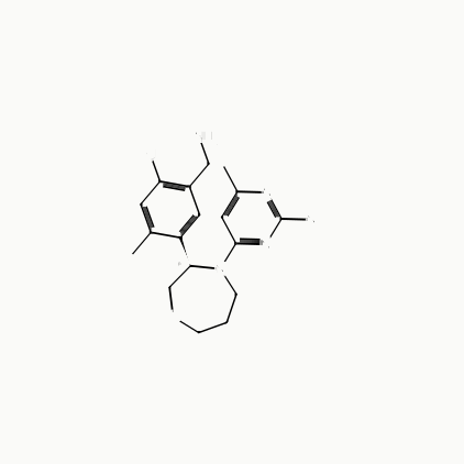 Cc1cc(N2CCCOC[C@H]2c2cc(CN)c(Cl)cc2C)nc(N)n1